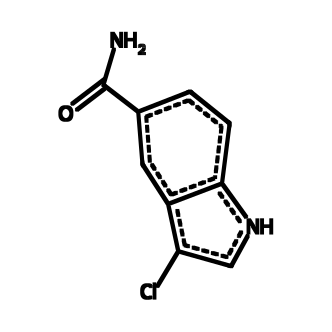 NC(=O)c1ccc2[nH]cc(Cl)c2c1